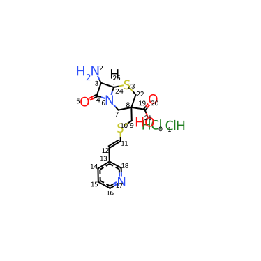 Cl.Cl.NC1C(=O)N2CC(CSC=Cc3cccnc3)(C(=O)O)CS[C@H]12